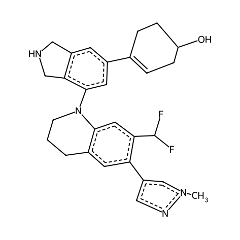 Cn1cc(-c2cc3c(cc2C(F)F)N(c2cc(C4=CCC(O)CC4)cc4c2CNC4)CCC3)cn1